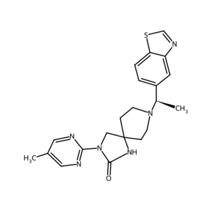 Cc1cnc(N2CC3(CCN([C@H](C)c4ccc5scnc5c4)CC3)NC2=O)nc1